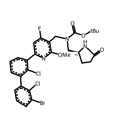 COc1nc(-c2cccc(-c3cccc(Br)c3Cl)c2Cl)cc(F)c1CN(C[C@@H]1CCC(=O)N1)C(=O)OC(C)(C)C